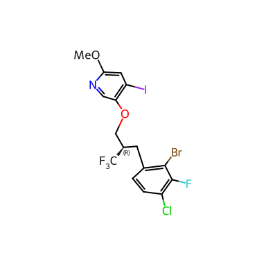 COc1cc(I)c(OC[C@@H](Cc2ccc(Cl)c(F)c2Br)C(F)(F)F)cn1